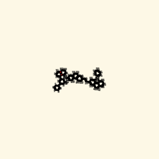 Fc1cc(-c2ccccc2)cc(-c2ccccc2)c1N(c1ccccc1)c1ccc2c(ccc3cc(/C=C/c4cc5ccc6cccc7c6c5c(c4)n7-c4ccccc4)ccc32)c1